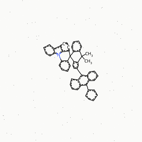 CC1(C)c2ccccc2C2(c3ccccc3-n3c4ccccc4c4cccc2c43)c2ccc(-c3c4ccccc4c(-c4ccccc4)c4ccccc34)cc21